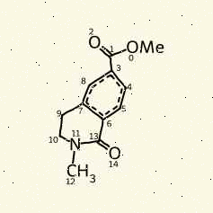 COC(=O)c1ccc2c(c1)CCN(C)C2=O